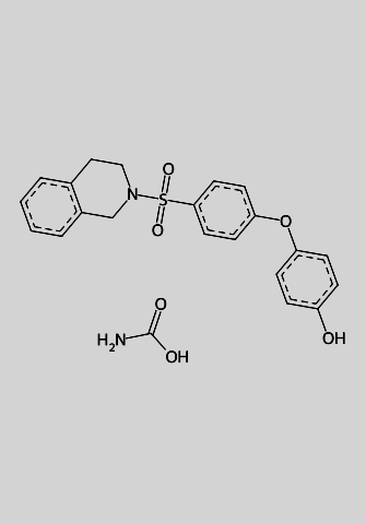 NC(=O)O.O=S(=O)(c1ccc(Oc2ccc(O)cc2)cc1)N1CCc2ccccc2C1